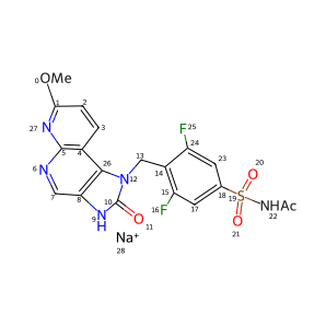 COc1ccc2c(ncc3[nH]c(=O)n(Cc4c(F)cc(S(=O)(=O)[N-]C(C)=O)cc4F)c32)n1.[Na+]